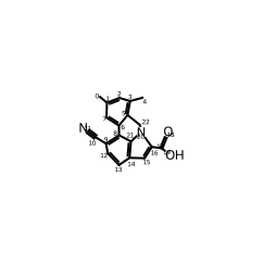 Cc1cc(C)c2c(c1)-c1c(C#N)ccc3cc(C(=O)O)n(c13)C2